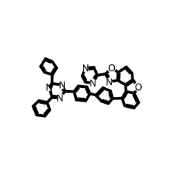 c1ccc(-c2nc(-c3ccccc3)nc(-c3ccc(-c4ccc(-c5cccc6oc7ccc8oc(-c9cnccn9)nc8c7c56)cc4)cc3)n2)cc1